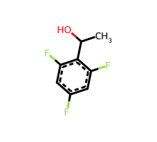 CC(O)c1c(F)cc(F)cc1F